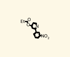 CCC(=O)Oc1ccnc(-c2cccc([N+](=O)[O-])c2)c1